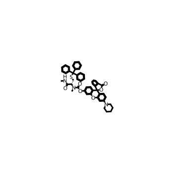 CNC(=O)[C@H](CSC(c1ccccc1)(c1ccccc1)c1ccccc1)N(C)C(=O)Oc1ccc2c(c1)Oc1cc(N3CCCCC3)ccc1C21OC(=O)c2ccccc21